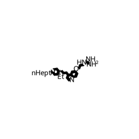 CCCCCCCN1CC[C@@H](CCCc2ccnc3ccc(OCCCNC(=N)N)cc23)[C@@H](CC)C1